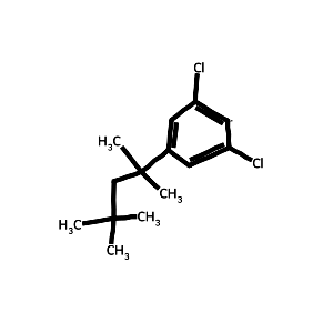 CC(C)(C)CC(C)(C)c1cc(Cl)[c]c(Cl)c1